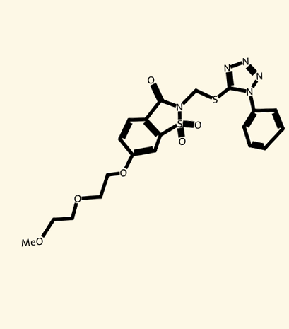 COCCOCCOc1ccc2c(c1)S(=O)(=O)N(CSc1nnnn1-c1ccccc1)C2=O